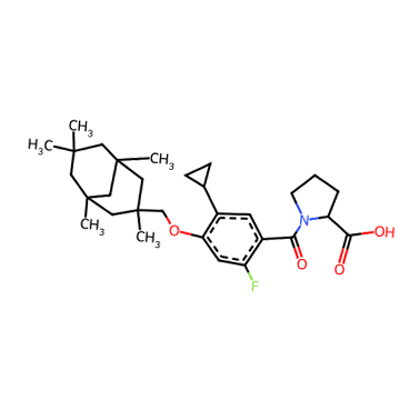 CC1(C)CC2(C)CC(C)(COc3cc(F)c(C(=O)N4CCCC4C(=O)O)cc3C3CC3)CC(C)(C1)C2